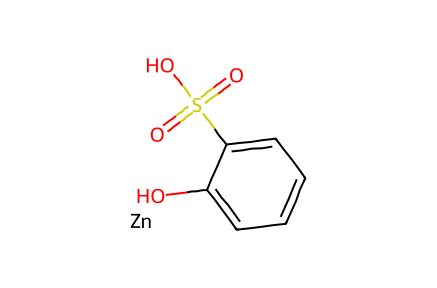 O=S(=O)(O)c1ccccc1O.[Zn]